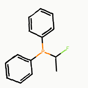 CC(F)P(c1ccccc1)c1ccccc1